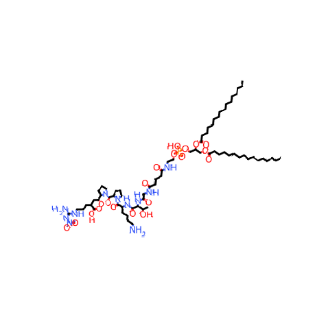 CCCCCCCCCCCCCCCC(=O)OCC(COP(=O)(O)OCCNC(=O)CCCC(=O)NCC(=O)NC(C(=O)NC(CCCCN)C(=O)N1CCCC1C(=O)N1CCCC1C(=O)CC(CCCN/C(N)=N\[N+](=O)[O-])C(=O)O)C(C)O)OC(=O)CCCCCCCCCCCCCCC